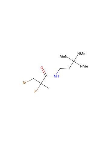 CNC(CCNC(=O)C(C)(Br)CBr)(NC)NC